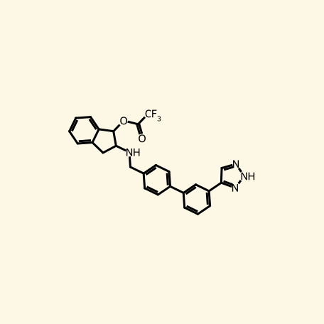 O=C(OC1c2ccccc2CC1NCc1ccc(-c2cccc(-c3cn[nH]n3)c2)cc1)C(F)(F)F